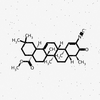 [C-]#[N+]C1=C[C@]2(C)[C@H]3CC=C4[C@@H]5CC(C)(C)CC[C@]5(C(=O)OC)CC[C@@]4(C)[C@]3(C)CC[C@H]2[C@H](C)C1=O